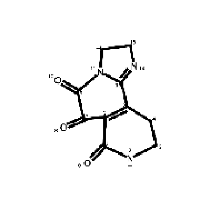 O=C1NCCC2=C1C(=O)C(=O)N1CCN=C21